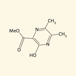 COC(=O)c1nc(C)c(C)nc1O